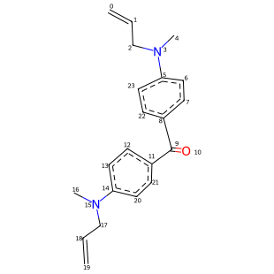 C=CCN(C)c1ccc(C(=O)c2ccc(N(C)CC=C)cc2)cc1